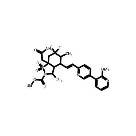 COc1ncccc1-c1ccc(/C=C/C2C(C)C(F)(F)CC3(CC(N)=O)C2C(C)N(C(=O)OC(C)(C)C)S3(=O)=O)nc1